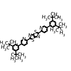 CC(C)(C)c1cc(-c2ccc(-c3nc4sc(-c5ccc(-c6cc(C(C)(C)C)cc(C(C)(C)C)c6)cn5)nc4s3)nc2)cc(C(C)(C)C)c1